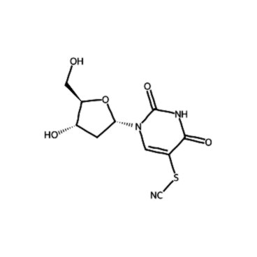 N#CSc1cn([C@@H]2C[C@H](O)[C@@H](CO)O2)c(=O)[nH]c1=O